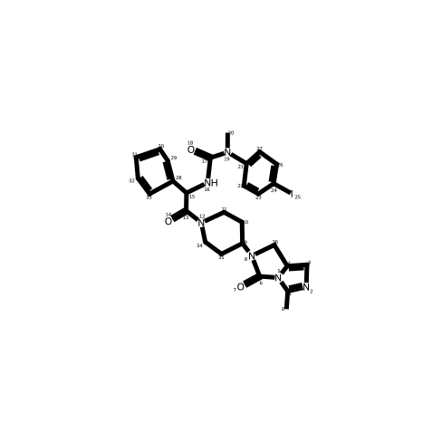 Cc1ncc2n1C(=O)N(C1CCN(C(=O)C(NC(=O)N(C)c3ccc(I)cc3)c3ccccc3)CC1)C2